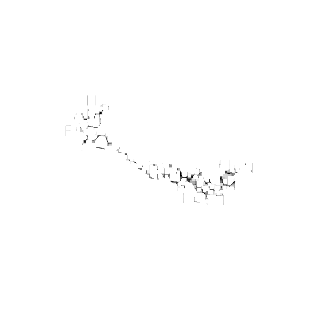 CCN(C(=O)c1ccc(OCCCCCN2CCN(c3ccc(C(=O)NC4C(C)(C)C(Oc5ccc(C#N)c(Cl)c5)C4(C)C)cn3)CC2)cc1)C1CCC(=O)NC1=O